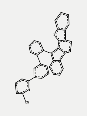 N#Cc1cccc(-c2cccc(-c3ccccc3-n3c4ccccc4c4ccc5c6ccccc6oc5c43)c2)n1